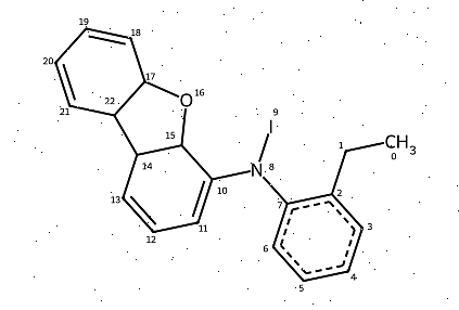 CCc1ccccc1N(I)C1=CC=CC2C1OC1C=CC=CC12